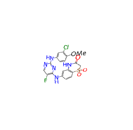 COc1ccc(Nc2ncc(F)c(Nc3ccc4c(c3)NC(=O)CS4(=O)=O)n2)cc1Cl